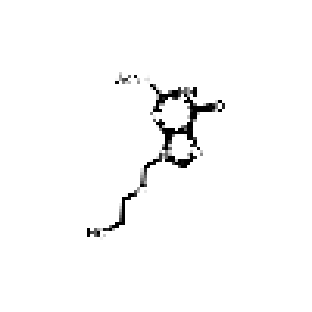 CC(=O)Nc1nc2c(ncn2COCCO)c(=O)[nH]1